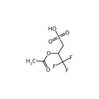 CC(=O)OC(CS(=O)(=O)O)C(F)(F)F